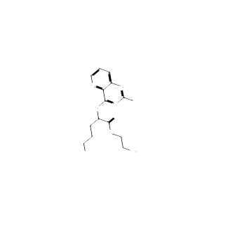 CCCCC(Nc1nc(N)nc2cccnc12)C(=O)NCCO